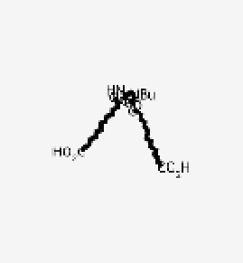 CC(C)(C)C(CC(=N)OC(=O)CCCCCCCCCCCCC(=O)O)C(=O)OC(=O)CCCCCCCCCCCCC(=O)O